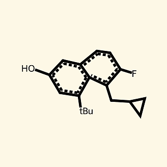 CC(C)(C)c1cc(O)cc2ccc(F)c(CC3CC3)c12